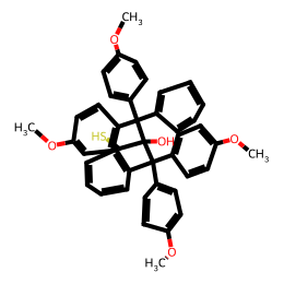 COc1ccc(C(c2ccccc2)(c2ccc(OC)cc2)C(O)(CS)C(c2ccccc2)(c2ccc(OC)cc2)c2ccc(OC)cc2)cc1